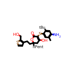 CCCCCC1(CCc2ccsc2CO)CC(O)=C(Sc2cc(C)c(N)cc2C(C)(C)C)C(=O)O1